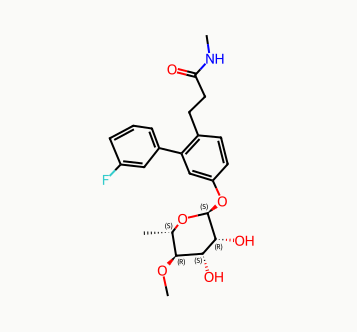 CNC(=O)CCc1ccc(O[C@@H]2O[C@@H](C)[C@H](OC)[C@@H](O)[C@H]2O)cc1-c1cccc(F)c1